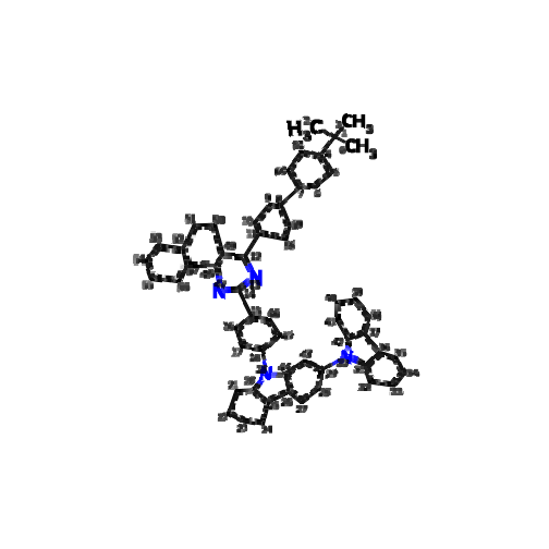 CC(C)(C)c1ccc(-c2ccc(-c3nc(-c4ccc(-n5c6ccccc6c6ccc(-n7c8ccccc8c8ccccc87)cc65)cc4)nc4c3ccc3ccccc34)cc2)cc1